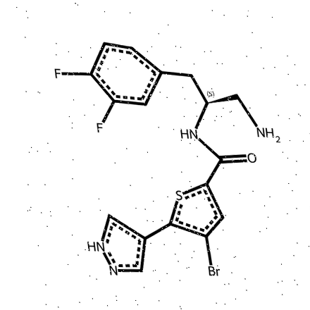 NC[C@H](Cc1ccc(F)c(F)c1)NC(=O)c1cc(Br)c(-c2cn[nH]c2)s1